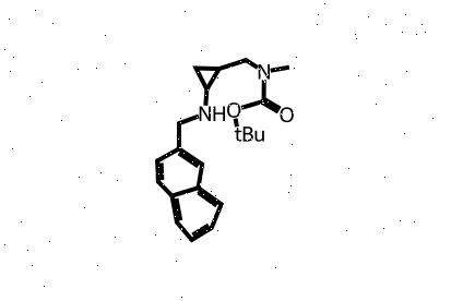 CN(CC1CC1NCc1ccc2ccccc2c1)C(=O)OC(C)(C)C